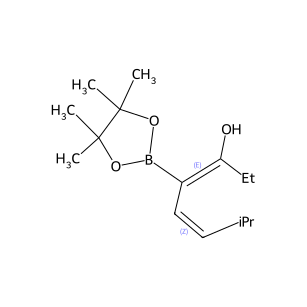 CC/C(O)=C(\C=C/C(C)C)B1OC(C)(C)C(C)(C)O1